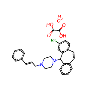 Brc1ccc2c(c1)C(N1CCN(C/C=C/c3ccccc3)CC1)c1ccccc1C=C2.O.O=C(O)C(=O)O